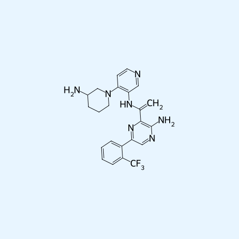 C=C(Nc1cnccc1N1CCCC(N)C1)c1nc(-c2ccccc2C(F)(F)F)cnc1N